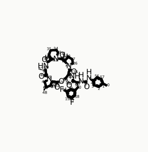 Cc1ccc(NC(=O)N[C@@H](Cc2cc(F)cc(F)c2)C(=O)NC2C(=O)N3CCC[C@H]3C(=O)N3CCCC[C@H]3C(=O)N[C@@H](C)C(=O)N3C[C@H](C)C[C@H]3C(=O)O[C@H]2C)cc1